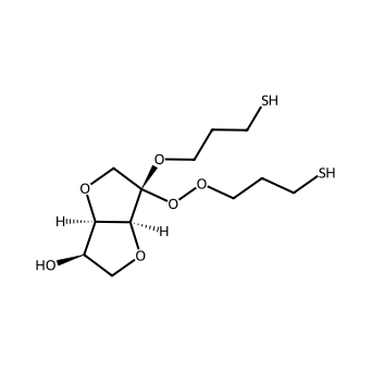 O[C@@H]1CO[C@H]2[C@@H]1OC[C@]2(OCCCS)OOCCCS